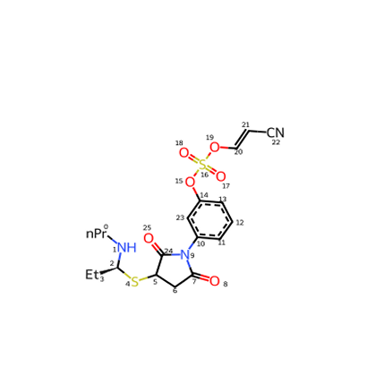 CCCN[C@H](CC)SC1CC(=O)N(c2cccc(OS(=O)(=O)O/C=C/C#N)c2)C1=O